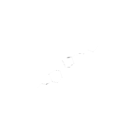 CCCCOc1ccc([C@H]2CC[C@H](CCC)CC2)cc1